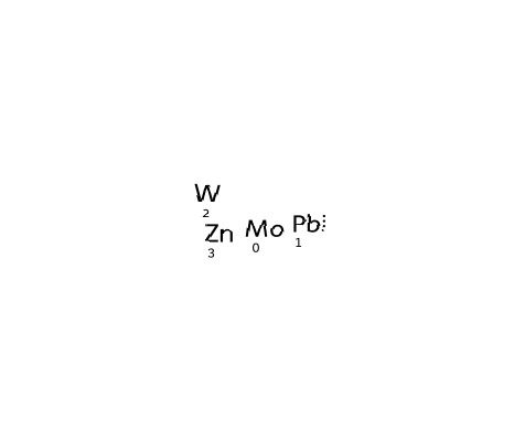 [Mo].[Pb].[W].[Zn]